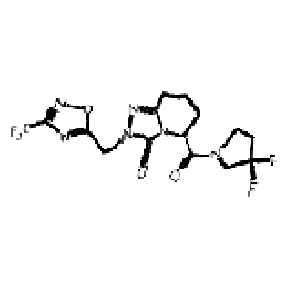 O=C([C@@H]1CCCc2nn(Cc3nc(C(F)(F)F)no3)c(=O)n21)N1CCC(F)(F)C1